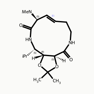 CN[C@H]1/C=C/CCNC(=O)[C@H]2OC(C)(C)O[C@@H]2[C@H](C(C)C)NC1=O